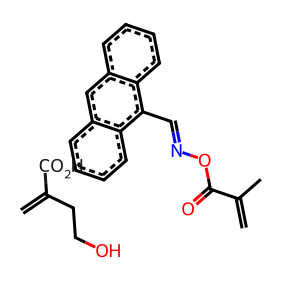 C=C(C)C(=O)ON=Cc1c2ccccc2cc2ccccc12.C=C(CCO)C(=O)O